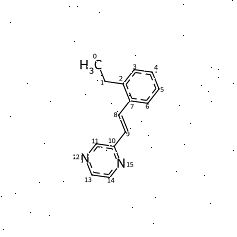 CCc1c[c]ccc1C=Cc1cnccn1